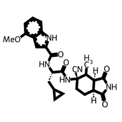 COc1cccc2[nH]c(C(=O)N[C@@H](CC3CC3)C(=O)N[C@@]3(C#N)CC[C@@H]4C(=O)NC(=O)[C@@H]4C3C)cc12